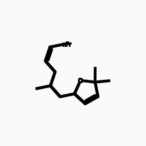 CCC/C=C\CC(C)CC1C=CC(C)(C)O1